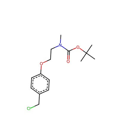 CN(CCOc1ccc(CCl)cc1)C(=O)OC(C)(C)C